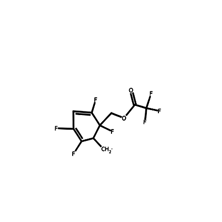 [CH2]C1C(F)=C(F)C=C(F)C1(F)COC(=O)C(F)(F)F